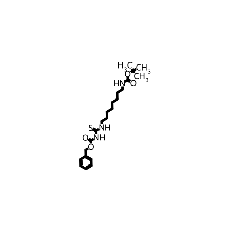 CC(C)(C)OC(=O)NCCCCCCCCNC(=S)NC(=O)OCc1ccccc1